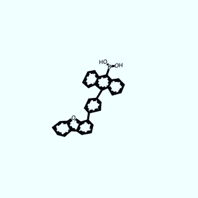 OB(O)c1c2ccccc2c(-c2ccc(-c3cccc4c3oc3ccccc34)cc2)c2ccccc12